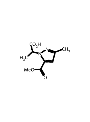 COC(=O)c1cc(C)nn1C(C)C(=O)O